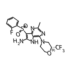 Cc1nc(N2CCO[C@@H](C(F)(F)F)C2)c2[nH]c(N)c(S(=O)(=O)c3ccccc3F)c2n1